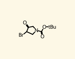 CC(C)(C)OC(=O)N1CC(=O)C(Br)C1